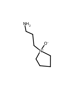 NCCC[N+]1([O-])CCCC1